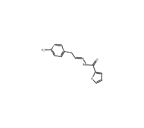 Nc1ccc(CC=NNC(=O)c2ccco2)cc1